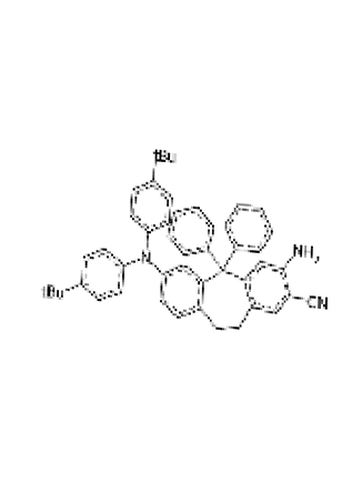 CC(C)(C)c1ccc(N(c2ccc(C(C)(C)C)cc2)c2ccc3c(c2)C(c2ccccc2)(c2ccccc2)c2cc(N)c(C#N)cc2CC3)cc1